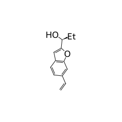 C=Cc1ccc2cc([C@@H](O)CC)oc2c1